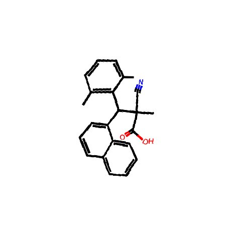 Cc1cccc(C)c1C(c1cccc2ccccc12)C(C)(C#N)C(=O)O